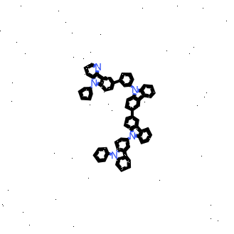 c1ccc(-n2c3ccccc3c3cc(-n4c5ccccc5c5cc(-c6ccc7c(c6)c6ccccc6n7-c6cccc(-c7ccc8c(c7)c7ncccc7n8-c7ccccc7)c6)ccc54)ccc32)cc1